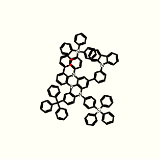 c1ccc(-c2cccc3c2N(c2ccc([Si](c4ccccc4)(c4ccccc4)c4ccccc4)cc2)c2cc(-c4cccc(-n5c6ccccc6c6ccccc65)c4)cc4c2B3c2cc(C(c3ccccc3)(c3ccccc3)c3ccccc3)ccc2N4c2ccc([Si](c3ccccc3)(c3ccccc3)c3ccccc3)cc2)cc1